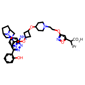 CC(C)C(C(=O)O)c1cc(OCCN2CCC(OC3CC(Oc4cc(N5C6CCC5CN(c5cc(-c7ccccc7O)nnc5N)C6)ccn4)C3)CC2)no1